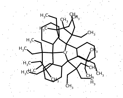 CCC(C)(CC)C[C](C1CCCCC1)([Cr]([C](CC(C)(CC)CC)(C1CCCCC1)C(CC)(CC)CC)[C](CC(C)(CC)CC)(C1CCCCC1)C(CC)(CC)CC)C(CC)(CC)CC